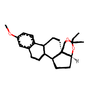 COc1ccc2c(c1)CCC1C2CC[C@]23COC(C)(C)O[C@H]2CCC13